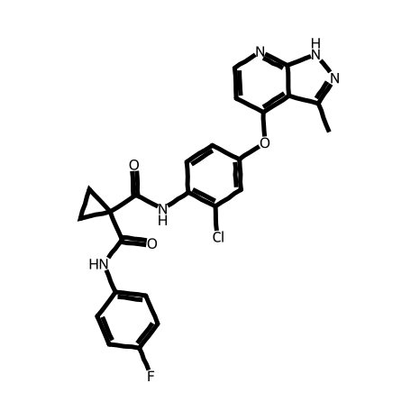 Cc1n[nH]c2nccc(Oc3ccc(NC(=O)C4(C(=O)Nc5ccc(F)cc5)CC4)c(Cl)c3)c12